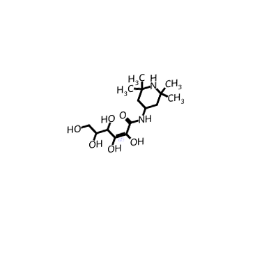 CC1(C)CC(NC(=O)/C(O)=C(/O)C(O)C(O)CO)CC(C)(C)N1